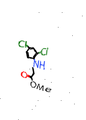 COC(=O)CCNc1ccc(Cl)cc1Cl